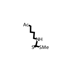 CSC(=S)NCCCCC(C)=O